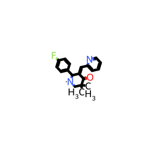 CC1(C)C[N]C(c2ccc(F)cc2)C(=Cc2ccccn2)C1=O